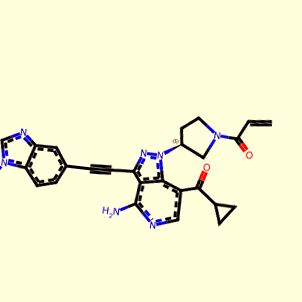 C=CC(=O)N1CC[C@H](n2nc(C#Cc3ccc4c(c3)ncn4C)c3c(N)ncc(C(=O)C4CC4)c32)C1